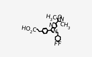 Cc1noc(C)c1-c1cnc2c(-c3ccc(CCC(=O)O)cc3)cn(CC3CCC(F)(F)CC3)c2c1